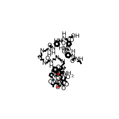 CCCNC(=O)Nc1cccc(S(=O)(=O)Nc2cccc([C@@H](CC(=O)O)NC(=O)Nc3ccc(NC(=O)NCCN(C)CCN(C)CCN(C)CC(=O)NCCN(C)CCN(C)CCN(C)CC(=O)N[C@@H](CC(N)=O)C(=O)N4CCC[C@H]4C(=O)N[C@H](C(=O)O[C@]4(CC)C(=O)OCc5c4cc4n(c5=O)Cc5c-4nc4ccccc4c5CC)C(C)C)cc3)c2)c1